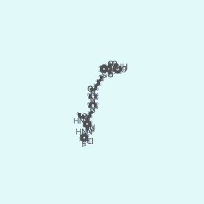 C=CC(=O)Nc1cc2c(Nc3ccc(F)c(Cl)c3)ncnc2cc1OCCCN1CCC(N2CCN(C(=O)CCCCCCSc3cccc4c3C(=O)N(C3CCC(=O)NC3=O)C4=O)CC2)CC1